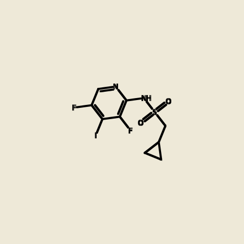 O=S(=O)(CC1CC1)Nc1ncc(F)c(I)c1F